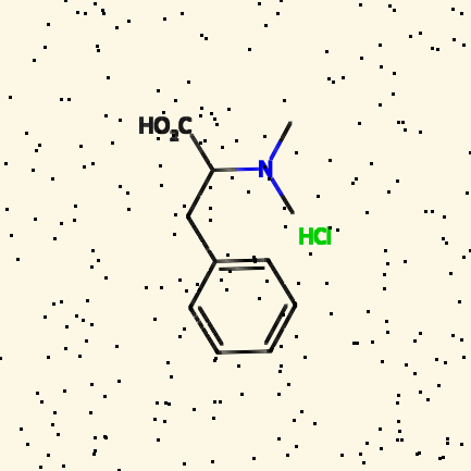 CN(C)C(Cc1ccccc1)C(=O)O.Cl